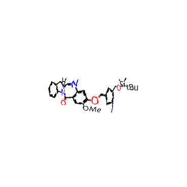 COc1cc2c(cc1OCc1cc(I)cc(CO[Si](C)(C)C(C)(C)C)c1)N=C[C@@H]1Cc3ccccc3N1C2=O